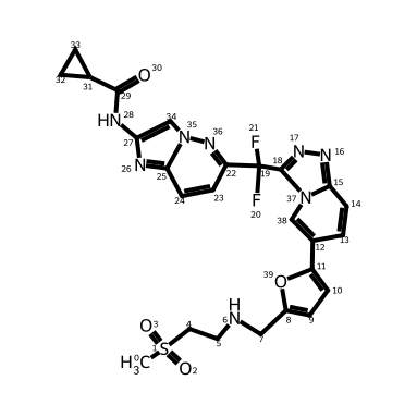 CS(=O)(=O)CCNCc1ccc(-c2ccc3nnc(C(F)(F)c4ccc5nc(NC(=O)C6CC6)cn5n4)n3c2)o1